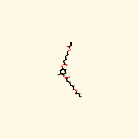 C=CC(=O)OCCCCCC(=O)Oc1ccc(OC(=O)CCCCCOC(=O)C=C)c(C)c1